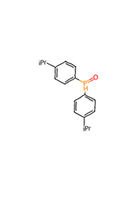 CC(C)c1ccc([PH](=O)c2ccc(C(C)C)cc2)cc1